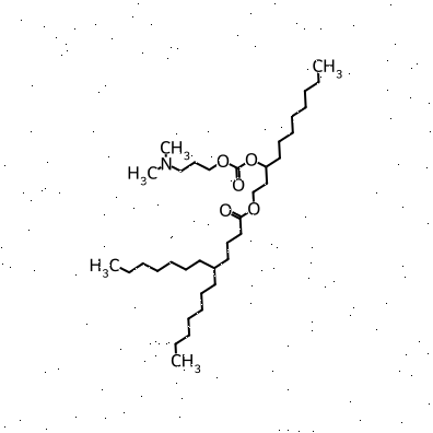 CCCCCCCCC(CCOC(=O)CCCC(CCCCCCC)CCCCCCC)OC(=O)OCCCN(C)C